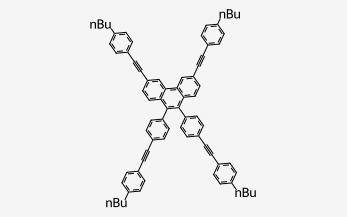 CCCCc1ccc(C#Cc2ccc(-c3c(-c4ccc(C#Cc5ccc(CCCC)cc5)cc4)c4ccc(C#Cc5ccc(CCCC)cc5)cc4c4cc(C#Cc5ccc(CCCC)cc5)ccc34)cc2)cc1